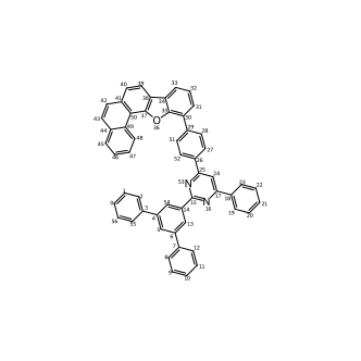 c1ccc(-c2cc(-c3ccccc3)cc(-c3nc(-c4ccccc4)cc(-c4ccc(-c5cccc6c5oc5c6ccc6ccc7ccccc7c65)cc4)n3)c2)cc1